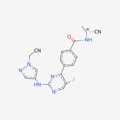 C[C@H](C#N)NC(=O)c1ccc(-c2nc(Nc3cnn(CC#N)c3)ncc2F)cc1